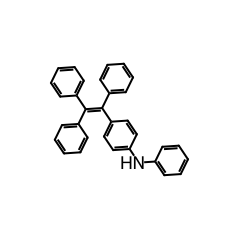 c1ccc(Nc2ccc(C(=C(c3ccccc3)c3ccccc3)c3ccccc3)cc2)cc1